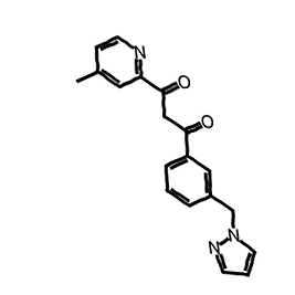 Cc1ccnc(C(=O)CC(=O)c2cccc(Cn3cccn3)c2)c1